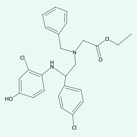 CCOC(=O)CN(Cc1ccccc1)CC(Nc1ccc(O)cc1Cl)c1ccc(Cl)cc1